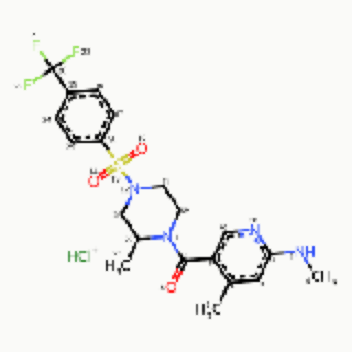 CNc1cc(C)c(C(=O)N2CCN(S(=O)(=O)c3ccc(C(F)(F)F)cc3)C[C@@H]2C)cn1.Cl